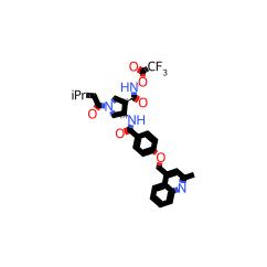 Cc1cc(COc2ccc(C(=O)N[C@@H]3CN(C(=O)CC(C)C)C[C@@H]3C(=O)NOC(=O)C(F)(F)F)cc2)c2ccccc2n1